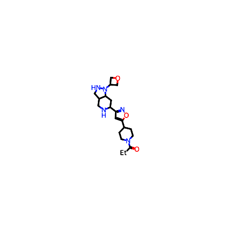 CCC(=O)N1CCC(c2cc(C3CC4C(CN3)CNN4C3COC3)no2)CC1